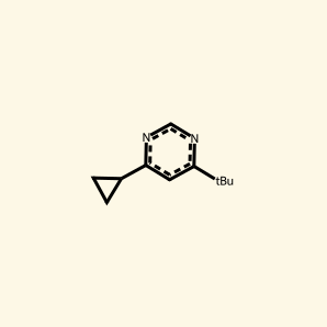 CC(C)(C)c1cc(C2CC2)ncn1